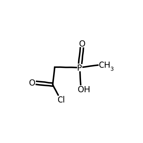 CP(=O)(O)CC(=O)Cl